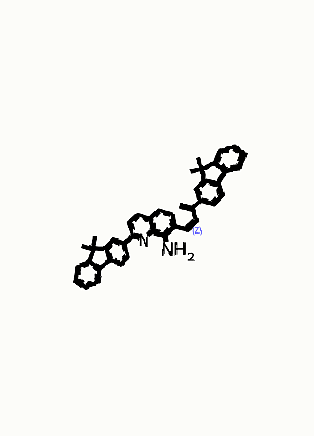 C=C(/C=C\c1ccc2ccc(-c3ccc4c(c3)C(C)(C)c3ccccc3-4)nc2c1N)c1ccc2c(c1)C(C)(C)c1ccccc1-2